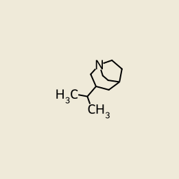 CC(C)C1CC2CCN(CC2)C1